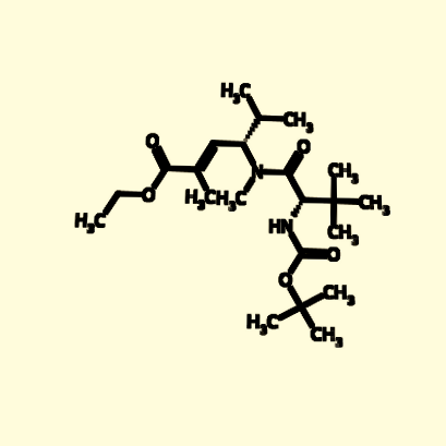 CCOC(=O)/C(C)=C/[C@H](C(C)C)N(C)C(=O)[C@@H](NC(=O)OC(C)(C)C)C(C)(C)C